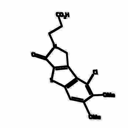 COc1cc2sc3c(c2c(Cl)c1OC)CN(CCC(=O)O)C3=O